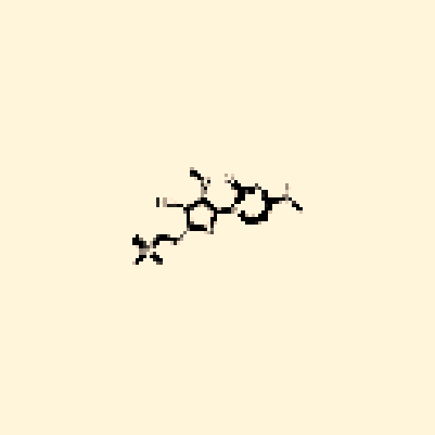 C=P(C)(C)CC[C@H]1OC(n2ccc(NC)nc2=O)[C@H](OC)[C@@H]1O